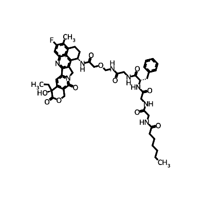 CCCCCCC(=O)NCC(=O)NCC(=O)N[C@@H](Cc1ccccc1)C(=O)NCC(=O)NCOCC(=O)N[C@H]1CCc2c(C)c(F)cc3nc4c(c1c23)Cn1c-4cc2c(c1=O)COC(=O)[C@]2(O)CC